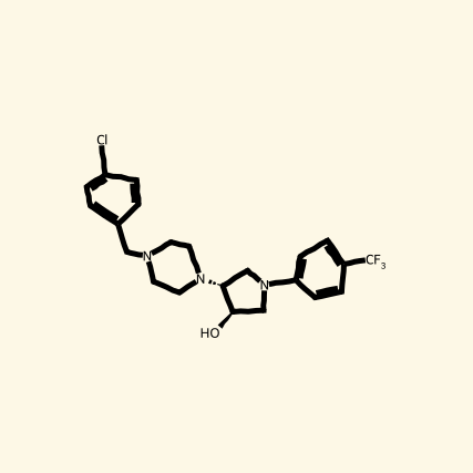 O[C@@H]1CN(c2ccc(C(F)(F)F)cc2)C[C@H]1N1CCN(Cc2ccc(Cl)cc2)CC1